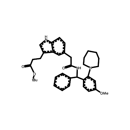 COc1ccc(C(NC(=O)Cc2ccc3[nH]cc(CCC(=O)OC(C)(C)C)c3c2)c2ccccc2)c(N2CCCCCC2)c1